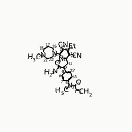 C=CC(=O)N(C)c1ccc(C(Cc2nc(N3CCCN(C)CC3)c(C#N)c(CC)c2C#N)C(N)=O)cc1